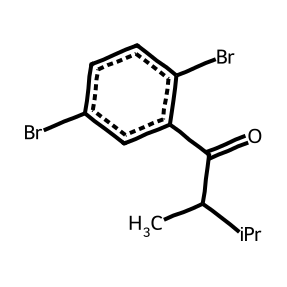 CC(C)C(C)C(=O)c1cc(Br)ccc1Br